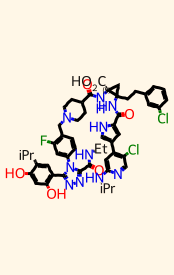 CCNC(=O)c1nnc(-c2cc(C(C)C)c(O)cc2O)n1-c1ccc(CN2CCC(C(=O)N[C@@]3(C(=O)O)CC3(CCc3cccc(Cl)c3)NC(=O)c3cc(-c4cc(NC(C)C)ncc4Cl)c[nH]3)CC2)c(F)c1